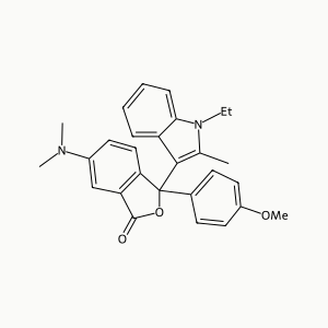 CCn1c(C)c(C2(c3ccc(OC)cc3)OC(=O)c3cc(N(C)C)ccc32)c2ccccc21